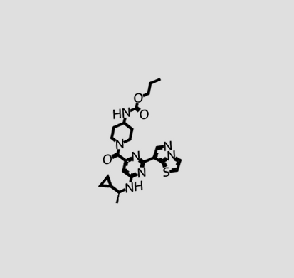 CCCOC(=O)NC1CCN(C(=O)c2cc(N[C@@H](C)C3CC3)nc(-c3cnn4ccsc34)n2)CC1